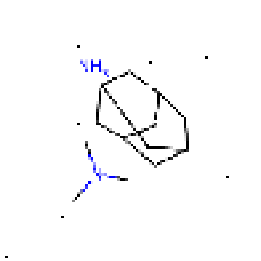 C1C2CC3CC1CC(C2)C3.CN(C)C.N